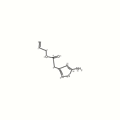 C=CCOC(=O)Cc1nsc(N)n1